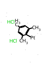 Cc1cc(C)[c]([Pt])c(C)c1.Cl.Cl